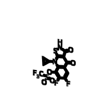 O=c1[nH]sc2c1c(=O)c1cc(F)c(F)c(OS(=O)(=O)C(F)(F)F)c1n2C1CC1